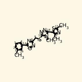 Cc1cccc(-c2nc(CSc3nnc(-c4sc(C)nc4C)n3C)no2)c1